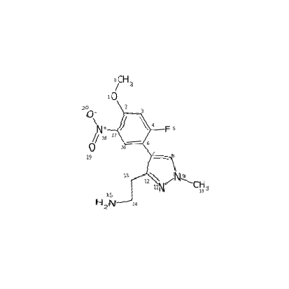 COc1cc(F)c(-c2cn(C)nc2CCN)cc1[N+](=O)[O-]